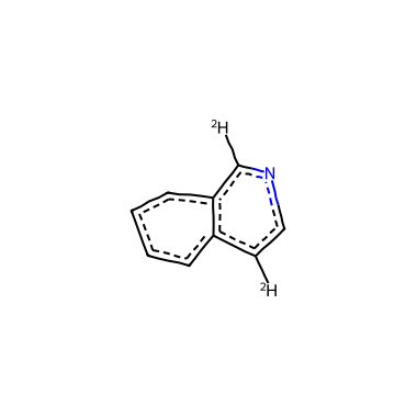 [2H]c1cnc([2H])c2ccccc12